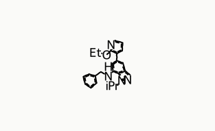 CCOc1ncccc1-c1cc(NCc2ccccc2)c2c(cnn2C(C)C)c1